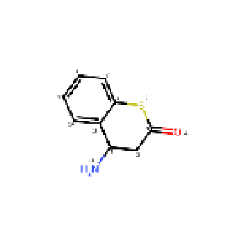 NC1CC(=O)Sc2ccccc21